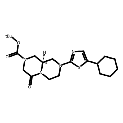 CC(C)(C)OC(=O)N1CC(=O)N2CCN(c3ncc(C4CCCCC4)s3)C[C@@H]2C1